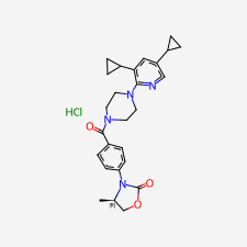 C[C@@H]1COC(=O)N1c1ccc(C(=O)N2CCN(c3ncc(C4CC4)cc3C3CC3)CC2)cc1.Cl